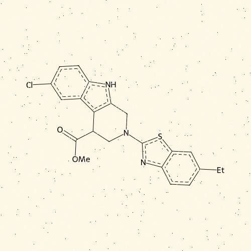 CCc1ccc2nc(N3Cc4[nH]c5ccc(Cl)cc5c4C(C(=O)OC)C3)sc2c1